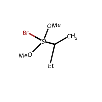 CCC(C)[Si](Br)(OC)OC